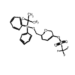 CC(C)(C)[Si](OCC1CC=C(OS(=O)(=O)C(F)(F)F)CO1)(c1ccccc1)c1ccccc1